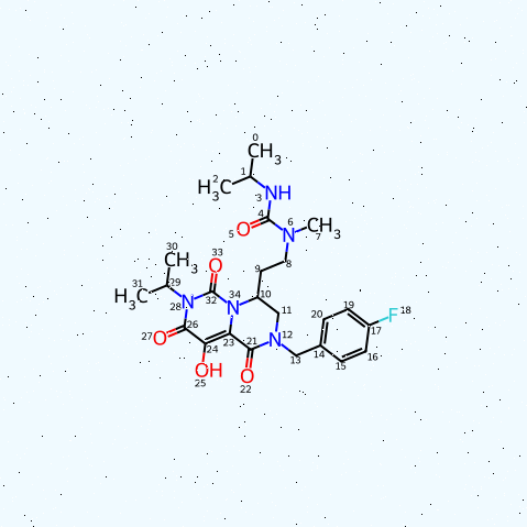 CC(C)NC(=O)N(C)CCC1CN(Cc2ccc(F)cc2)C(=O)c2c(O)c(=O)n(C(C)C)c(=O)n21